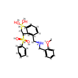 COc1ccccc1CNCc1cccc2c1C(S(=O)(=O)c1ccccc1)CS2(O)O